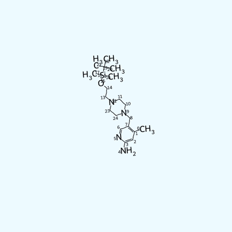 Cc1cc(N)ncc1CN1CCN(CCO[Si](C)(C)C(C)(C)C)CC1